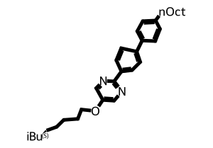 CCCCCCCCc1ccc(-c2ccc(-c3ncc(OCCCCC[C@@H](C)CC)cn3)cc2)cc1